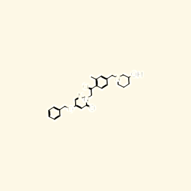 Cc1cc(CN2CCCC(O)C2)ccc1C(=O)Cn1ncc(OCc2ccccc2)cc1=O